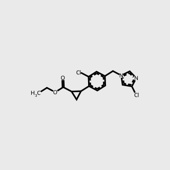 CCOC(=O)C1CC1c1ccc(Cn2cnc(Cl)c2)cc1Cl